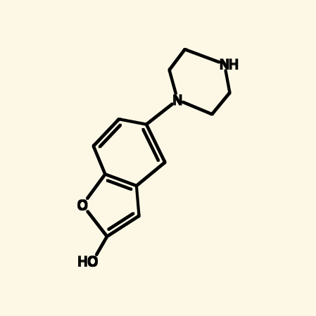 Oc1cc2cc(N3CCNCC3)ccc2o1